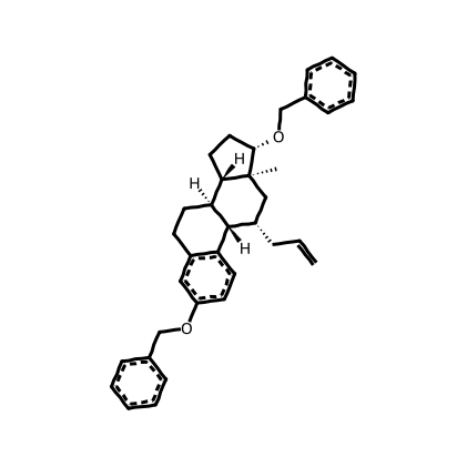 C=CC[C@H]1C[C@]2(C)[C@@H](OCc3ccccc3)CC[C@H]2[C@@H]2CCc3cc(OCc4ccccc4)ccc3[C@@H]12